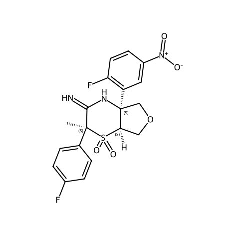 C[C@]1(c2ccc(F)cc2)C(=N)N[C@@]2(c3cc([N+](=O)[O-])ccc3F)COC[C@H]2S1(=O)=O